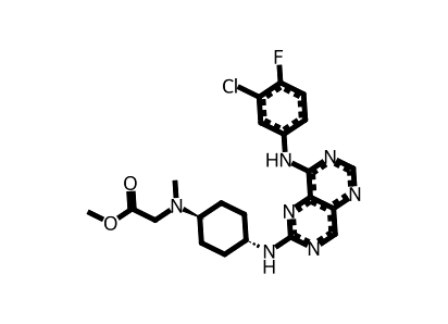 COC(=O)CN(C)[C@H]1CC[C@H](Nc2ncc3ncnc(Nc4ccc(F)c(Cl)c4)c3n2)CC1